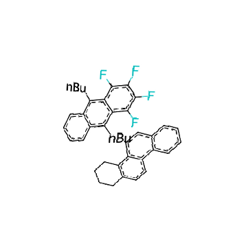 CCCCc1c2ccccc2c(CCCC)c2c(F)c(F)c(F)c(F)c12.c1ccc2c(c1)ccc1c3c(ccc12)CCCC3